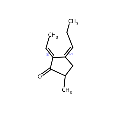 C/C=C1/C(=O)C(C)C/C1=C/CC